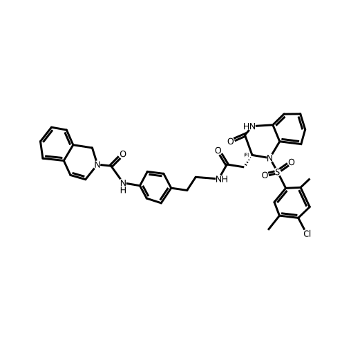 Cc1cc(S(=O)(=O)N2c3ccccc3NC(=O)[C@H]2CC(=O)NCCc2ccc(NC(=O)N3C=Cc4ccccc4C3)cc2)c(C)cc1Cl